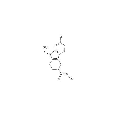 CC(C)(C)OC(=O)N1CCc2c(c3ccc(Cl)cc3n2CC(=O)O)C1